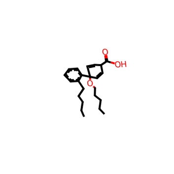 CCCCCOC1(c2ccccc2CCCCC)C=CC(C(=O)O)C=C1